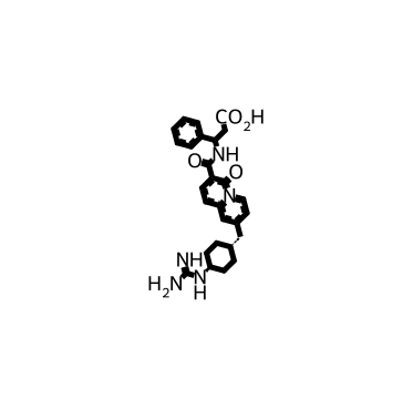 N=C(N)N[C@H]1CC[C@H](Cc2ccn3c(=O)c(C(=O)NC(CC(=O)O)c4ccccc4)ccc3c2)CC1